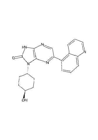 O=c1[nH]c2ncc(-c3cccc4ncccc34)nc2n1[C@H]1CC[C@H](O)CC1